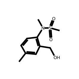 Cc1ccc(N(C)S(C)(=O)=O)c(CO)c1